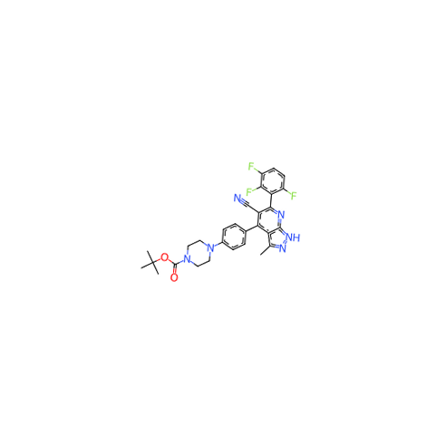 Cc1n[nH]c2nc(-c3c(F)ccc(F)c3F)c(C#N)c(-c3ccc(N4CCN(C(=O)OC(C)(C)C)CC4)cc3)c12